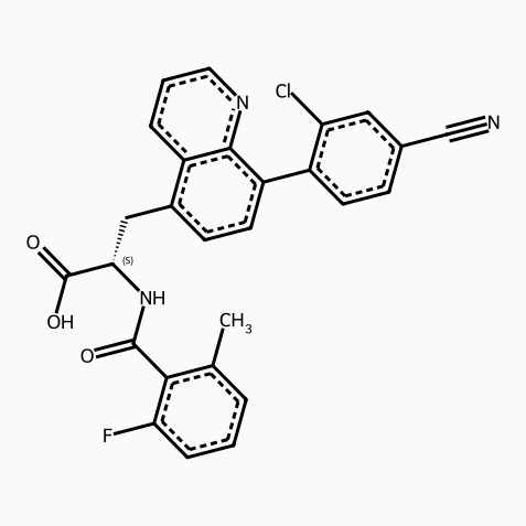 Cc1cccc(F)c1C(=O)N[C@@H](Cc1ccc(-c2ccc(C#N)cc2Cl)c2ncccc12)C(=O)O